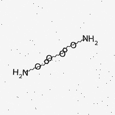 NCCCCCCOCCCc1ccc(OCCCCCCOc2ccc(CCCOCCCCCCN)cc2)cc1